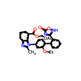 CCOc1cc(-n2c(C)nc3cccc(C(=O)OCOC(C)=O)c32)ccc1-c1ccccc1-c1nc(=O)o[nH]1